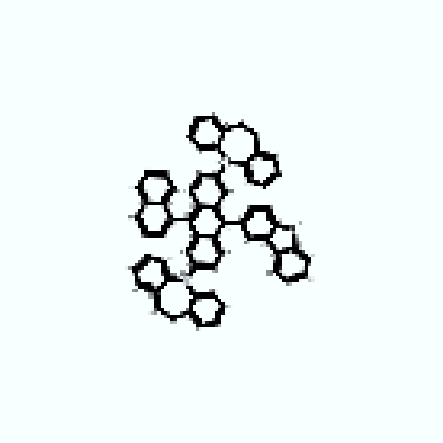 c1ccc2c(c1)CCc1ccccc1N2c1ccc2c(-c3cccc4ccccc34)c3cc(N4c5ccccc5CCc5ccccc54)ccc3c(-c3ccc4sc5ccccc5c4c3)c2c1